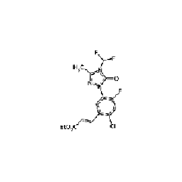 CCOC(=O)C=Cc1cc(-n2nc(C)n(C(F)F)c2=O)c(F)cc1Cl